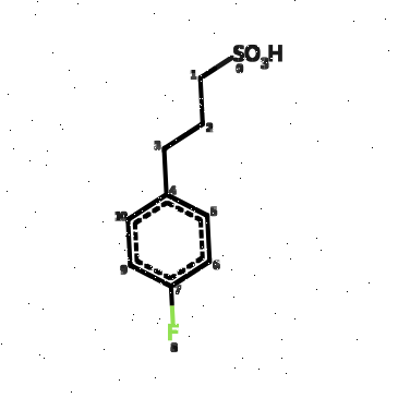 O=S(=O)(O)CCCc1ccc(F)cc1